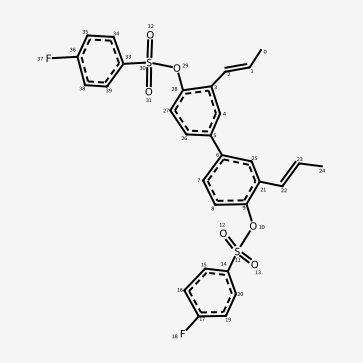 CC=Cc1cc(-c2ccc(OS(=O)(=O)c3ccc(F)cc3)c(C=CC)c2)ccc1OS(=O)(=O)c1ccc(F)cc1